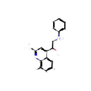 OC(CNc1ccccc1)c1cc(C(F)(F)F)nc2c(C(F)(F)F)cccc12